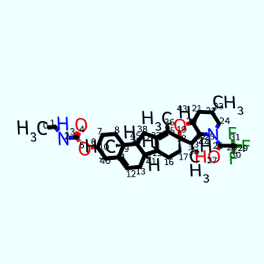 CCNC(=O)O[C@H]1CC[C@@]2(C)C(=CC[C@H]3[C@@H]4CC[C@]5(O[C@@H]6C[C@H](C)CN(C(O)C(F)(F)F)[C@H]6[C@H]5C)C(C)=C4C[C@@H]32)C1